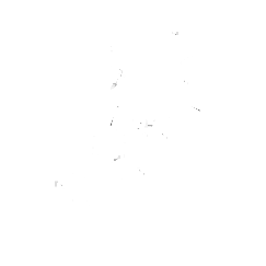 CC(C)[C@@H]1NC(=O)[C@@H](N)Cc2ccc3c(c2)[C@@]2(c4ccccc4NC2O3)c2oc1nc2-c1ncc(-c2c[nH]c3ccccc23)o1